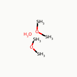 O.[SiH3]O[SiH3].[SiH3]O[SiH3]